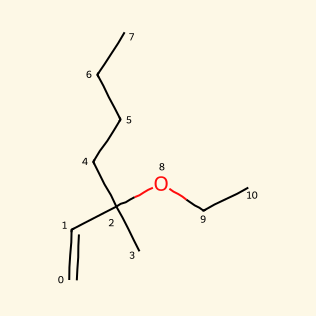 C=CC(C)(CCCC)OCC